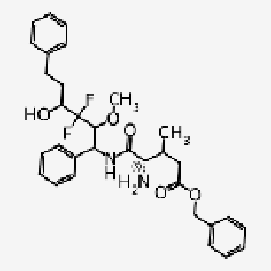 COC(C(NC(=O)[C@@H](N)C(C)CC(=O)OCc1ccccc1)c1ccccc1)C(F)(F)C(O)CCc1ccccc1